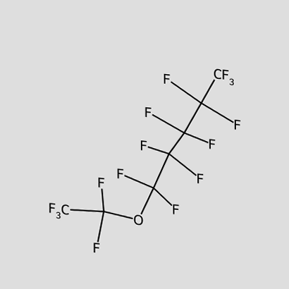 FC(F)(F)C(F)(F)OC(F)(F)C(F)(F)C(F)(F)C(F)(F)C(F)(F)F